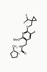 COc1nc(OCC2(C(F)F)CC2)c(F)cc1CNC(=O)[C@@H]1CCCN1C